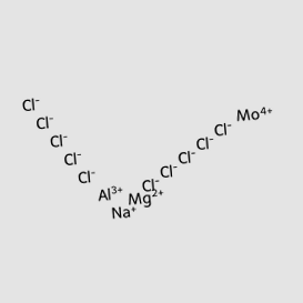 [Al+3].[Cl-].[Cl-].[Cl-].[Cl-].[Cl-].[Cl-].[Cl-].[Cl-].[Cl-].[Cl-].[Mg+2].[Mo+4].[Na+]